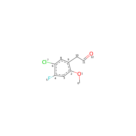 COc1cc(F)c(Cl)cc1CC=O